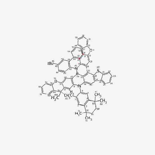 Cc1cc2c(cc1N1c3cc4c(cc3B3c5c1cc1c(sc6ccccc61)c5-c1cc5oc6ccccc6c5cc1N3c1ccc(C(C)(C)C)cc1-c1ccccc1)Oc1ccccc1C4(C)C)C(C)(C)CCC2(C)C